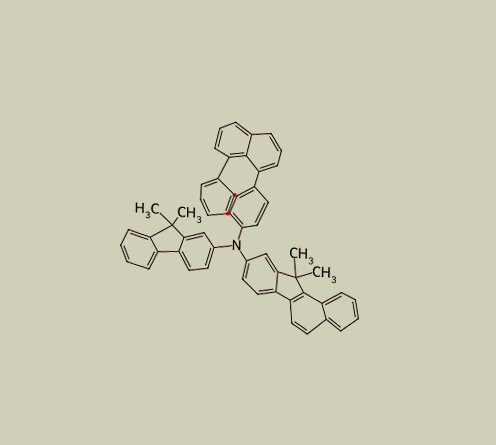 CC1(C)c2ccccc2-c2ccc(N(c3ccc(-c4cccc5cccc(-c6ccccc6)c45)cc3)c3ccc4c(c3)C(C)(C)c3c-4ccc4ccccc34)cc21